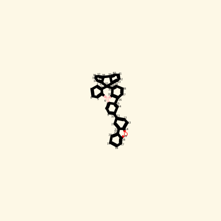 c1ccc2c(c1)B1c3ccc(-c4ccc5oc6ccccc6c5c4)cc3-c3cccc(c31)C21c2ccccc2-c2ccccc21